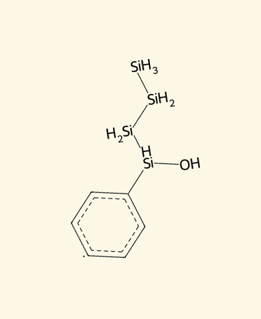 O[SiH]([SiH2][SiH2][SiH3])c1cc[c]cc1